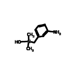 C[Si](C)(O)Cc1cccc(N)c1